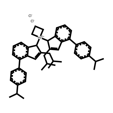 CC(C)CC1=Cc2c(-c3ccc(C(C)C)cc3)cccc2[CH]1[Hf+2]1([CH]2C(CC(C)C)=Cc3c(-c4ccc(C(C)C)cc4)cccc32)[CH2]C[CH2]1.[Cl-].[Cl-]